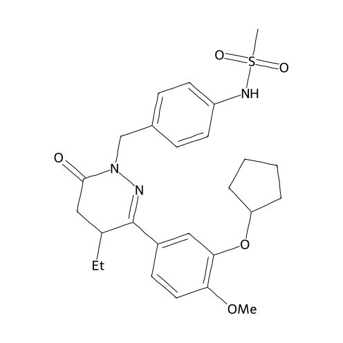 CCC1CC(=O)N(Cc2ccc(NS(C)(=O)=O)cc2)N=C1c1ccc(OC)c(OC2CCCC2)c1